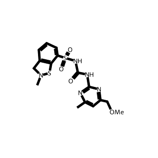 COCc1cc(C)nc(NC(=O)NS(=O)(=O)c2cccc3c2SN(C)C3)n1